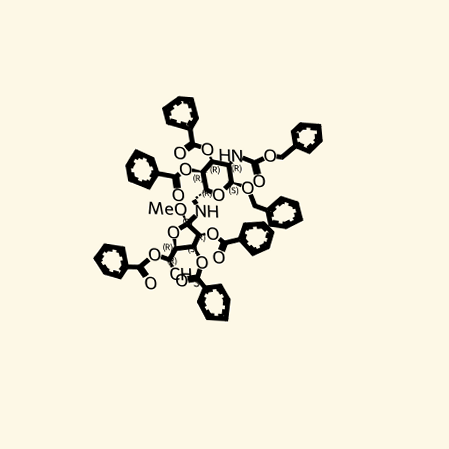 CO[C@@]1(NC[C@H]2O[C@H](OCc3ccccc3)[C@H](NC(=O)OCc3ccccc3)[C@@H](OC(=O)c3ccccc3)[C@@H]2OC(=O)c2ccccc2)O[C@H]([C@@H](C)OC(=O)c2ccccc2)[C@H](OC(=O)c2ccccc2)[C@H]1OC(=O)c1ccccc1